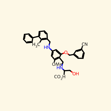 COc1cc(NCc2cccc(-c3ccccc3)c2C)cc(OCc2cccc(C#N)c2)c1CNC(CO)C(=O)O